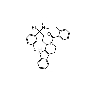 CCC(CCC1c2[nH]c3ccccc3c2CCN1C(=O)c1ccccc1C)(c1cccc(F)c1)N(C)C